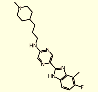 Cc1c(F)ccc2[nH]c(-c3cnc(NCCCC4CCN(C)CC4)cn3)nc12